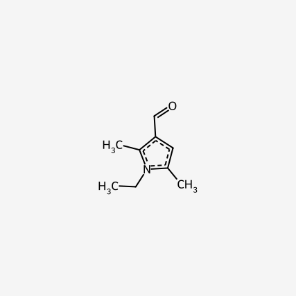 CCn1c(C)cc(C=O)c1C